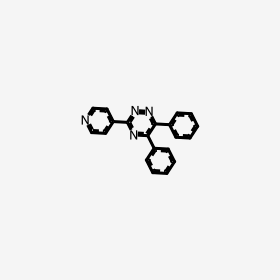 c1ccc(-c2nnc(-c3ccncc3)nc2-c2ccccc2)cc1